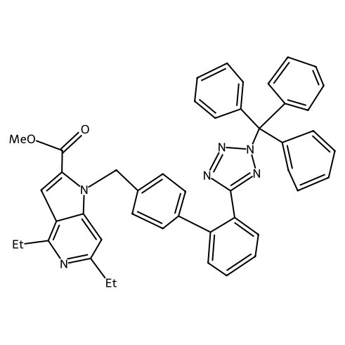 CCc1cc2c(cc(C(=O)OC)n2Cc2ccc(-c3ccccc3-c3nnn(C(c4ccccc4)(c4ccccc4)c4ccccc4)n3)cc2)c(CC)n1